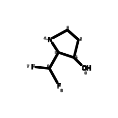 OC1CC[N]C1C(F)F